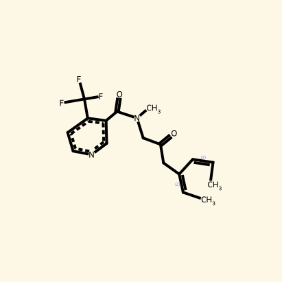 C/C=C\C(=C/C)CC(=O)CN(C)C(=O)c1cnccc1C(F)(F)F